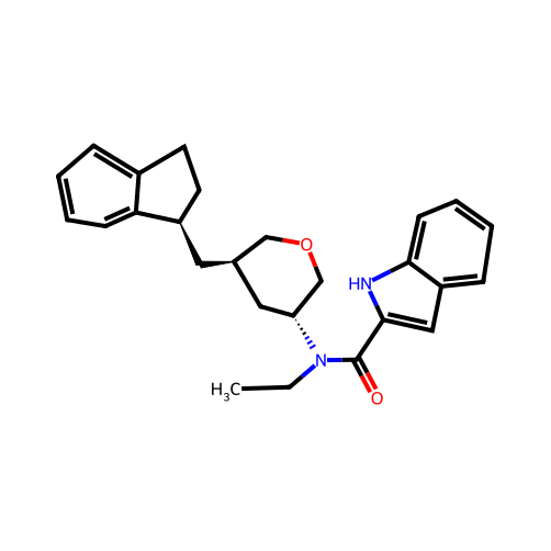 CCN(C(=O)c1cc2ccccc2[nH]1)[C@H]1COC[C@H](C[C@@H]2CCc3ccccc32)C1